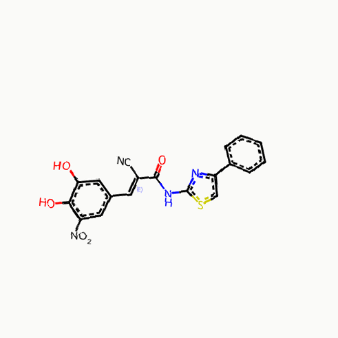 N#C/C(=C\c1cc(O)c(O)c([N+](=O)[O-])c1)C(=O)Nc1nc(-c2ccccc2)cs1